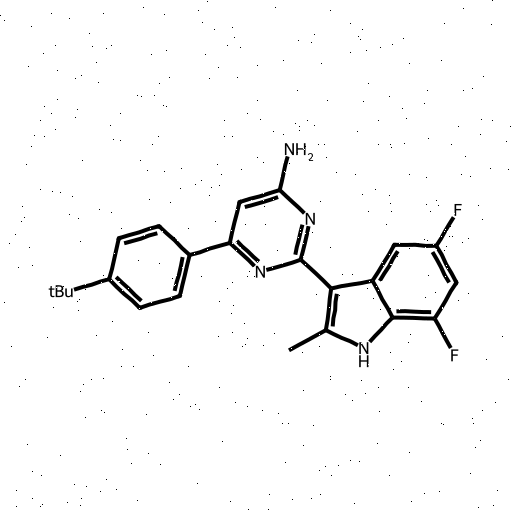 Cc1[nH]c2c(F)cc(F)cc2c1-c1nc(N)cc(-c2ccc(C(C)(C)C)cc2)n1